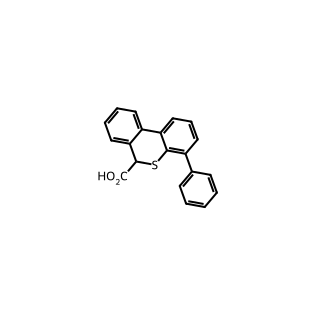 O=C(O)C1Sc2c(-c3ccccc3)cccc2-c2ccccc21